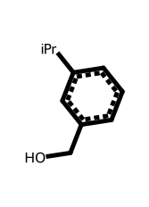 [CH2]C(C)c1cccc(CO)c1